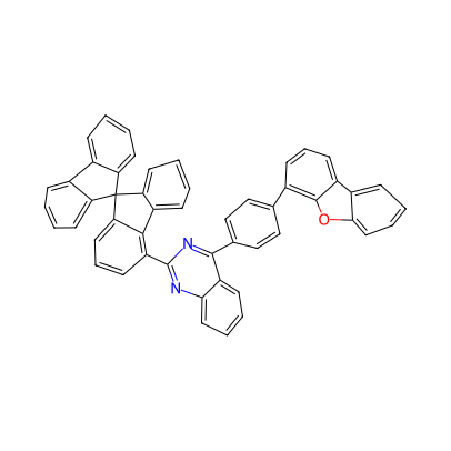 c1ccc2c(c1)-c1ccccc1C21c2ccccc2-c2c(-c3nc(-c4ccc(-c5cccc6c5oc5ccccc56)cc4)c4ccccc4n3)cccc21